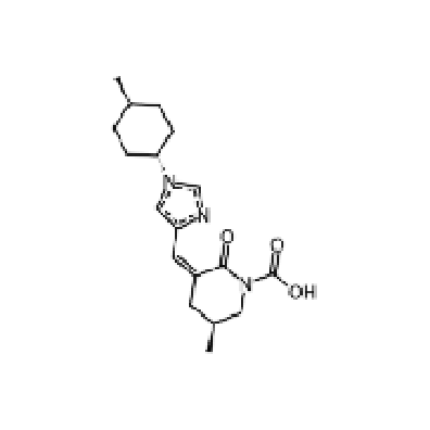 C[C@H]1CC(=Cc2cn([C@H]3CC[C@H](C)CC3)cn2)C(=O)N(C(=O)O)C1